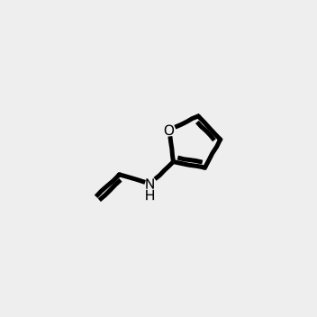 C=CNc1ccco1